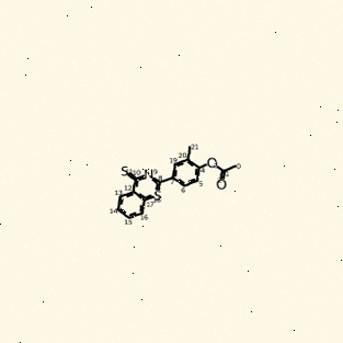 CC(=O)Oc1ccc(-c2nc(=S)c3ccccc3s2)cc1C